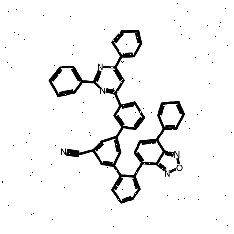 N#Cc1cc(-c2cccc(-c3cc(-c4ccccc4)nc(-c4ccccc4)n3)c2)cc(-c2ccccc2-c2ccc(-c3ccccc3)c3nonc23)c1